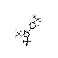 Cc1cc(-c2cc(C(F)(F)F)n(CC(F)(F)F)n2)ccc1[N+](=O)[O-]